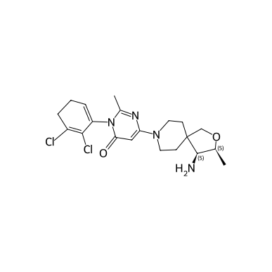 Cc1nc(N2CCC3(CC2)CO[C@@H](C)[C@H]3N)cc(=O)n1C1=CCCC(Cl)=C1Cl